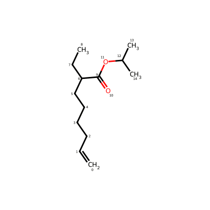 C=CCCCCC(CC)C(=O)OC(C)C